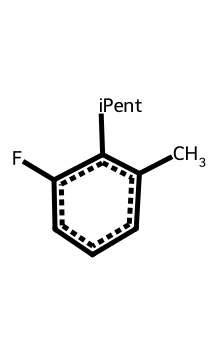 CCCC(C)c1c(C)cccc1F